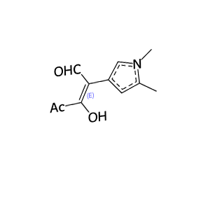 CC(=O)/C(O)=C(\C=O)c1cc(C)n(C)c1